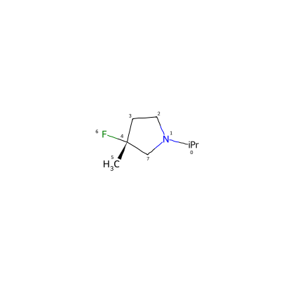 CC(C)N1CC[C@@](C)(F)C1